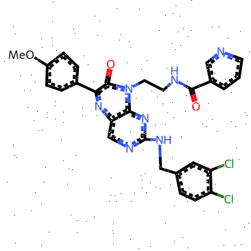 COc1ccc(-c2nc3cnc(NCc4ccc(Cl)c(Cl)c4)nc3n(CCNC(=O)c3cccnc3)c2=O)cc1